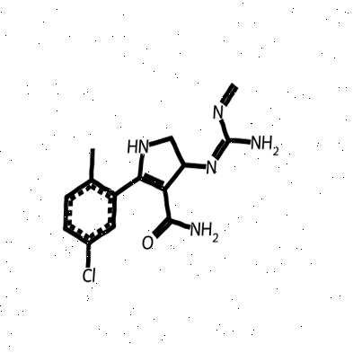 C=NC(N)=NC1CNC(c2cc(Cl)ccc2C)=C1C(N)=O